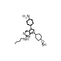 CCCCNc1ncc2c(-c3ccc(N)cc3)cn(C3CCC(OS)CC3)c2n1